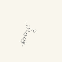 NCCOC(=O)CC1CN(Cc2ccncc2)CCN1Cc1ccc(-c2ccc(C(O)(C(F)(F)F)C(F)(F)F)cc2)cc1